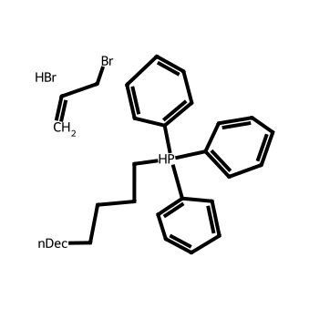 Br.C=CCBr.CCCCCCCCCCCCCC[PH](c1ccccc1)(c1ccccc1)c1ccccc1